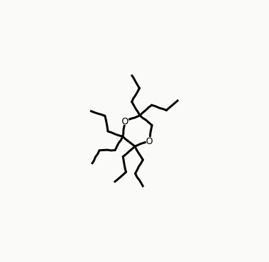 CCCC1(CCC)COC(CCC)(CCC)C(CCC)(CCC)O1